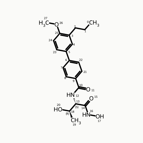 CCCc1cc(-c2ccc(C(=O)N[C@H](C(=O)NO)[C@@H](C)O)cc2)ccc1OC